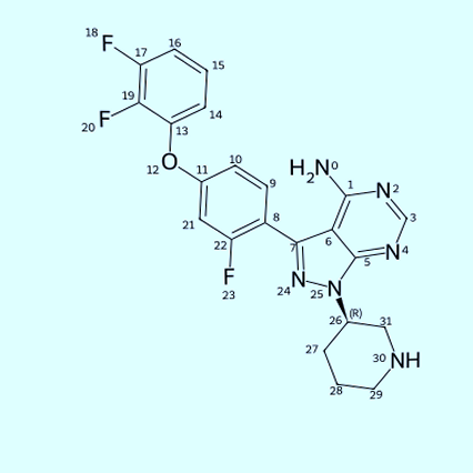 Nc1ncnc2c1c(-c1ccc(Oc3cccc(F)c3F)cc1F)nn2[C@@H]1CCCNC1